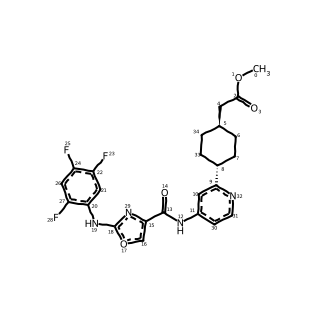 COC(=O)C[C@H]1CC[C@H](c2cc(NC(=O)c3coc(Nc4cc(F)c(F)cc4F)n3)ccn2)CC1